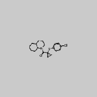 O=C(N1CCCC2CCCCC21)C1(Sc2ccc(Cl)cc2)CC1